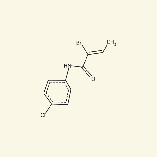 C/C=C(\Br)C(=O)Nc1ccc(Cl)cc1